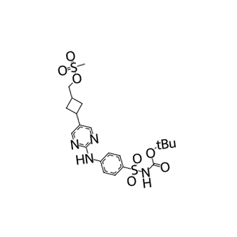 CC(C)(C)OC(=O)NS(=O)(=O)c1ccc(Nc2ncc(C3CC(COS(C)(=O)=O)C3)cn2)cc1